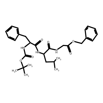 CC(C)CC(NC(=O)C(Cc1ccccc1)NC(=O)OC(C)(C)C)C(=O)NCC(=O)OCc1ccccc1